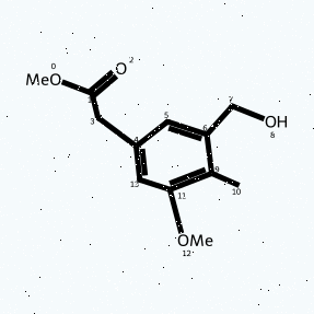 COC(=O)Cc1cc(CO)c(C)c(OC)c1